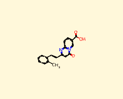 Cc1ccccc1C=Cc1cc(=O)n2cc(C(=O)O)ccc2n1